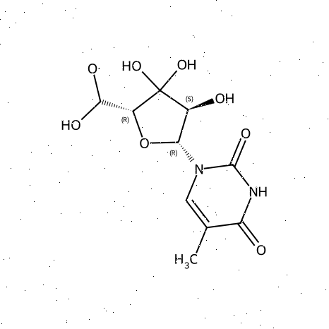 Cc1cn([C@@H]2O[C@H](C([O])O)C(O)(O)[C@H]2O)c(=O)[nH]c1=O